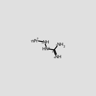 CC[CH]NNC(=N)N